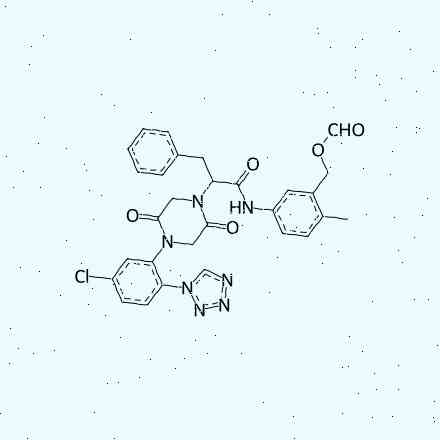 Cc1ccc(NC(=O)C(Cc2ccccc2)N2CC(=O)N(c3cc(Cl)ccc3-n3cnnn3)CC2=O)cc1COC=O